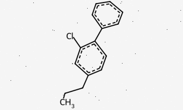 CCCc1[c]c(Cl)c(-c2ccccc2)cc1